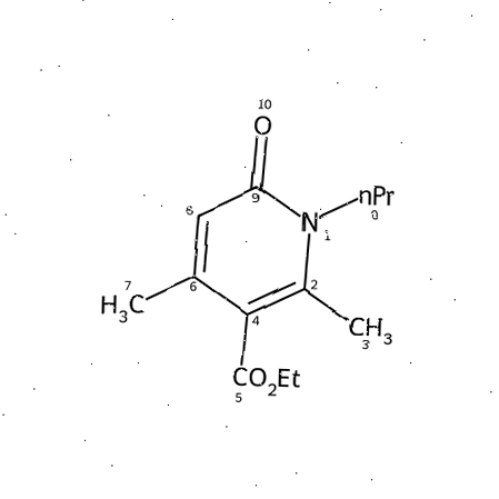 CCCn1c(C)c(C(=O)OCC)c(C)cc1=O